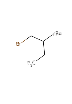 CCCCC(CBr)CC(F)(F)F